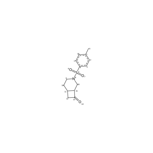 Cc1ccc(S(=O)(=O)N2CCC3CC(=O)C3C2)cc1